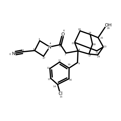 N#CC1CN(C(=O)CC2(Cc3cccc(Cl)c3)C3CC4CC2CC(C3)C4O)C1